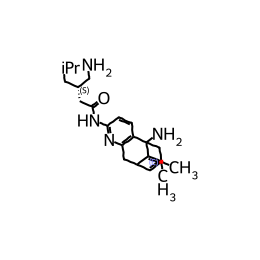 C/C=C1\C2C=C(C)CC1(N)c1ccc(NC(=O)C[C@@H](CN)CC(C)C)nc1C2